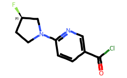 O=C(Cl)c1ccc(N2CC[C@@H](F)C2)nc1